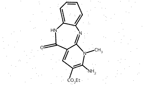 CCOC(=O)C1=C(N)N(C)C2=Nc3ccccc3NC(=O)C2=C1